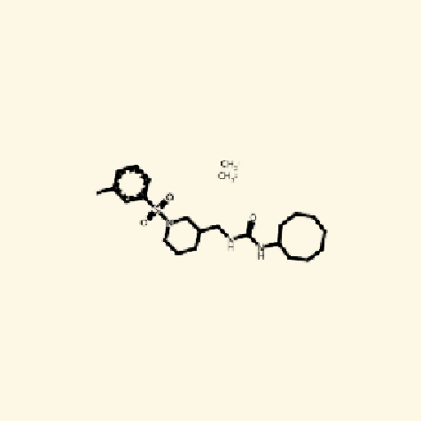 Cc1cccc(S(=O)(=O)N2CCCC(CNC(=O)N[C]3CCCCCCC3)C2)c1.[CH2].[CH2]